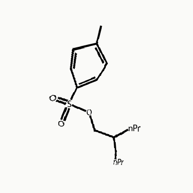 CCCC(CCC)COS(=O)(=O)c1ccc(C)cc1